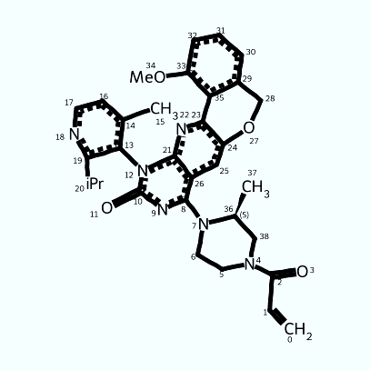 C=CC(=O)N1CCN(c2nc(=O)n(-c3c(C)ccnc3C(C)C)c3nc4c(cc23)OCc2cccc(OC)c2-4)[C@@H](C)C1